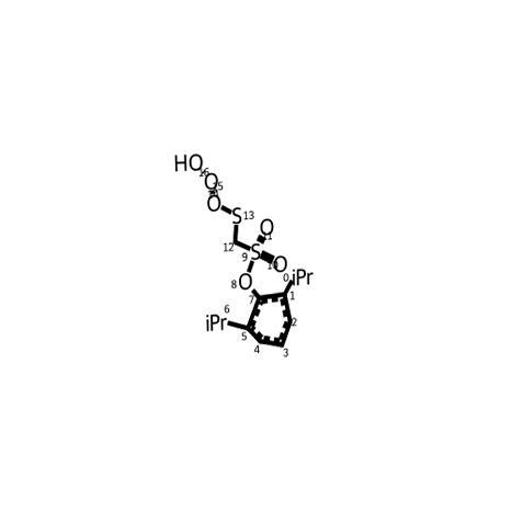 CC(C)c1cccc(C(C)C)c1OS(=O)(=O)CSOOO